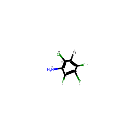 CCc1c(F)c(F)c(F)c(N)c1Cl